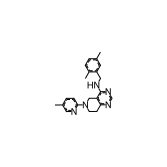 Cc1ccc(N2CCc3ncnc(NCc4cc(C)ccc4C)c3C2)nc1